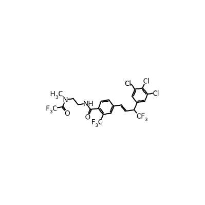 CN(CCNC(=O)c1ccc(C=CC(c2cc(Cl)c(Cl)c(Cl)c2)C(F)(F)F)cc1C(F)(F)F)C(=O)C(F)(F)F